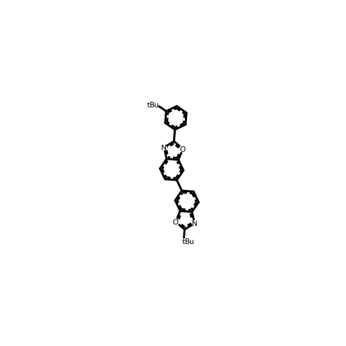 CC(C)(C)c1cccc(-c2nc3ccc(-c4ccc5nc(C(C)(C)C)oc5c4)cc3o2)c1